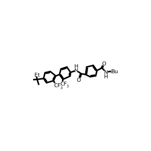 CCC(C)NC(=O)c1ccc(C(=O)Nc2ccc(-c3ccc(C(C)(C)CC)cc3C(F)(F)F)c(C(F)(F)F)c2)cc1